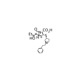 CC[C@H](O)[C@@H]1C(=O)N2C(C(=O)O)=C(SC3CCN(CCc4ccccc4)C3)S[C@H]12